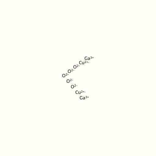 [Cu+2].[Cu+2].[Ga+3].[Ga+3].[O-2].[O-2].[O-2].[O-2].[O-2]